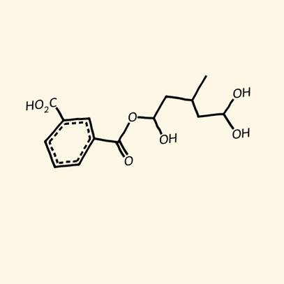 CC(CC(O)O)CC(O)OC(=O)c1cccc(C(=O)O)c1